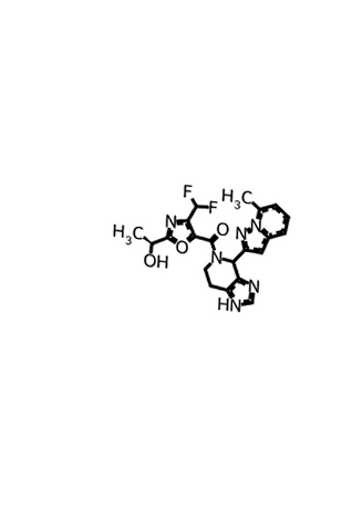 Cc1cccc2cc(C3c4nc[nH]c4CCN3C(=O)c3oc([C@H](C)O)nc3C(F)F)nn12